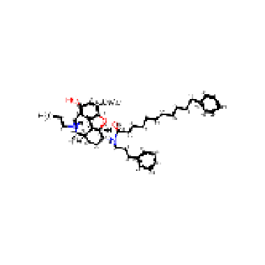 C=CCN1CC[C@]23c4c5c(O)cc(OC)c4O[C@H]2[C@H](N(CCCc2ccccc2)C(=O)CCCCCCCCCCc2ccccc2)CC[C@H]3[C@H]1C5